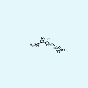 COc1cccnc1C(=O)NCC1C2CN(c3ccc(-c4cc(-c5cnn(C)c5)cn5ncc(C#N)c45)cn3)CC12